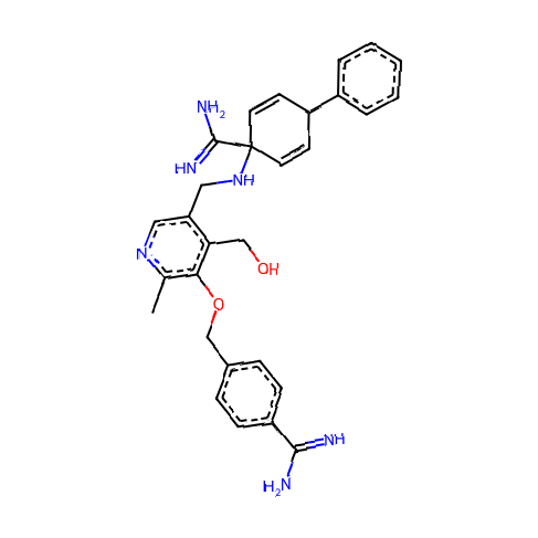 Cc1ncc(CNC2(C(=N)N)C=CC(c3ccccc3)C=C2)c(CO)c1OCc1ccc(C(=N)N)cc1